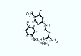 Cc1cc(NCCC(N)=NN)ncc1[N+](=O)[O-].Cc1ccc(S(=O)(=O)O)cc1